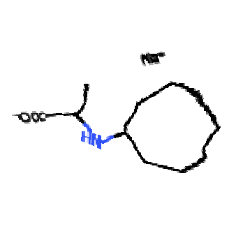 CC(NC1CCCCCCC1)C(=O)[O-].[Na+]